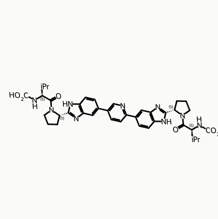 CC(C)[C@H](NC(=O)O)C(=O)N1CCC[C@H]1c1nc2cc(-c3ccc(-c4ccc5[nH]c([C@@H]6CCCN6C(=O)[C@@H](NC(=O)O)C(C)C)nc5c4)nc3)ccc2[nH]1